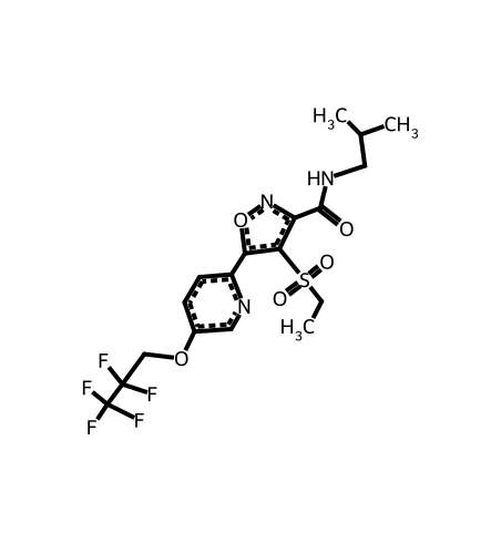 CCS(=O)(=O)c1c(C(=O)NCC(C)C)noc1-c1ccc(OCC(F)(F)C(F)(F)F)cn1